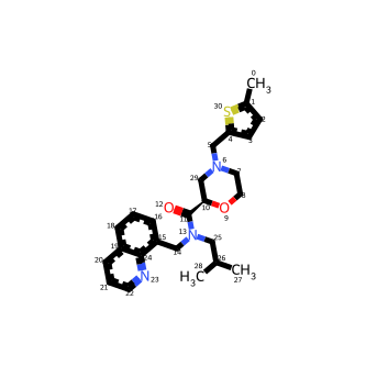 Cc1ccc(CN2CCO[C@@H](C(=O)N(Cc3cccc4cccnc34)CC(C)C)C2)s1